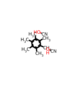 Cc1c(C)c(C)c(C)c(C)c1C.N#CO.N#CO